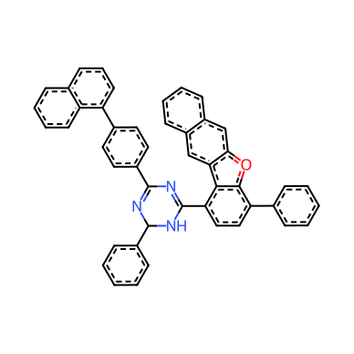 c1ccc(-c2ccc(C3=NC(c4ccc(-c5cccc6ccccc56)cc4)=NC(c4ccccc4)N3)c3c2oc2cc4ccccc4cc23)cc1